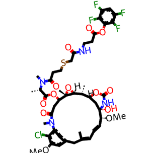 COc1cc2cc(c1Cl)N(C)C(=O)CC(OC(=O)[C@H](C)N(C)C(=O)CCSCC(=O)NCCC(=O)Oc1c(F)c(F)cc(F)c1F)[C@]1(C)O[C@H]1[C@H](C)[C@@H]1C[C@@](O)(NC(=O)O1)[C@H](OC)/C=C/C=C(\C)C2